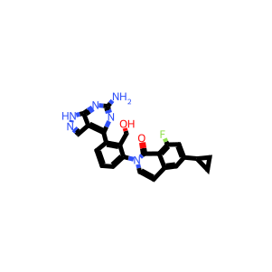 Nc1nc(-c2cccc(-n3ccc4cc(C5CC5)cc(F)c4c3=O)c2CO)c2cn[nH]c2n1